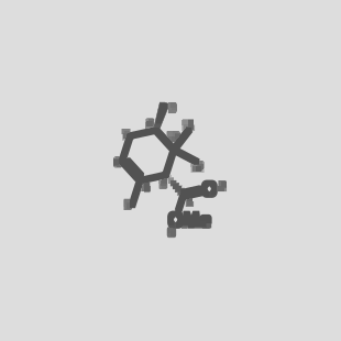 COC(=O)[C@@H]1C(C)=CC[C@@H](C)C1(C)C